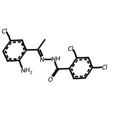 C/C(=N\NC(=O)c1ccc(Cl)cc1Cl)c1cc(Cl)ccc1N